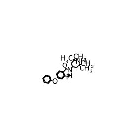 CC1(C)CC(NC(=O)c2ccc(Oc3ccccc3)cc2F)CC(C)(C)N1